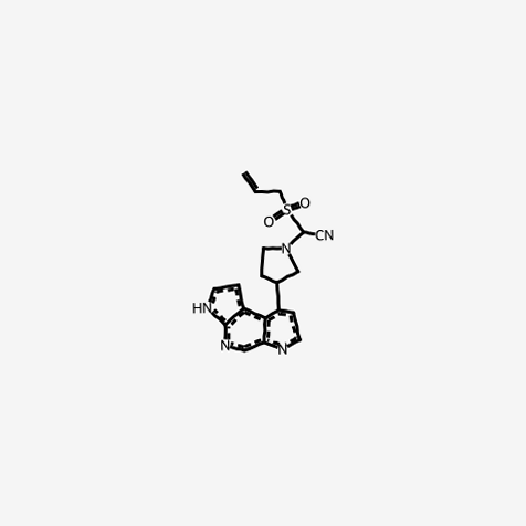 C=CCS(=O)(=O)C(C#N)N1CCC(c2ccnc3cnc4[nH]ccc4c23)C1